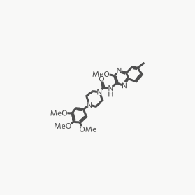 COc1cc(N2CCN(C(=O)Nc3nc4ccc(C)cc4nc3OC)CC2)cc(OC)c1OC